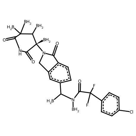 BC(c1ccc2c(c1)CN([C@]1(B)C(=O)NC(=O)C(B)(B)C1B)C2=O)N(B)C(=O)C(F)(F)c1ccc(Cl)cc1